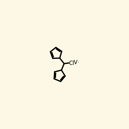 Cl[C](C1C=CC=C1)C1C=CC=C1.[V]